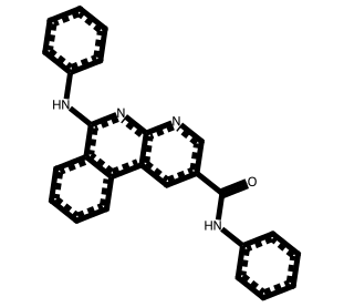 O=C(Nc1ccccc1)c1cnc2nc(Nc3ccccc3)c3ccccc3c2c1